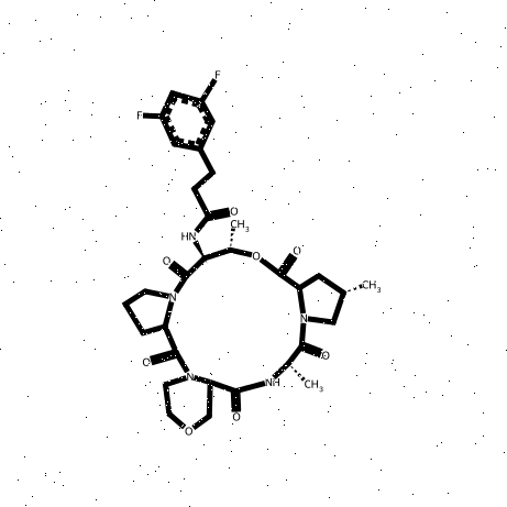 C[C@H]1CC2C(=O)O[C@@H](C)[C@H](NC(=O)CCc3cc(F)cc(F)c3)C(=O)N3CCCC3C(=O)N3CCOCC3C(=O)N[C@@H](C)C(=O)N2C1